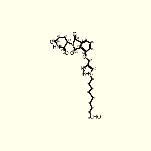 O=CCCCCCCCCn1cc(COc2cccc3c2C(=O)N(C2CCC(=O)NC2=O)C3=O)nn1